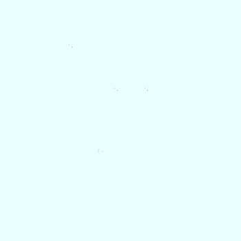 Cn1c(OCCNc2ccccc2)nc(-c2ccncc2)cc1=O